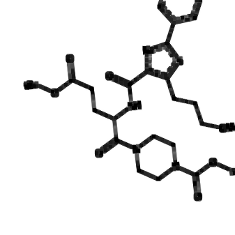 CCCCOC(=O)N1CCN(C(=O)C(CCC(=O)OC(C)(C)C)NC(=O)c2nc(-c3ccccc3)sc2CCCOC)CC1